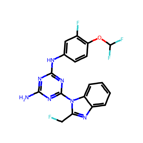 Nc1nc(Nc2ccc(OC(F)F)c(F)c2)nc(-n2c(CF)nc3ccccc32)n1